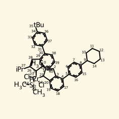 CC1=Cc2c(-c3ccc(C4CCCCC4)cc3)cccc2[CH]1[Zr]([Cl])([Cl])([CH]1C(C(C)C)=Cc2c(-c3ccc(C(C)(C)C)cc3)cccc21)[SiH](C)C